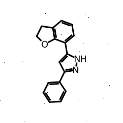 c1ccc(-c2cc(-c3cccc4c3OCC4)[nH]n2)cc1